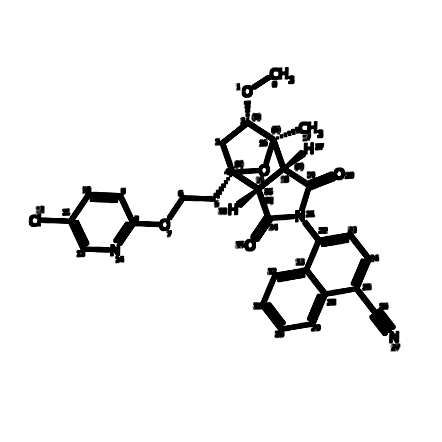 CO[C@H]1C[C@@]2(CCOc3ccc(Cl)cn3)O[C@]1(C)[C@@H]1C(=O)N(c3ccc(C#N)c4ccccc34)C(=O)[C@@H]12